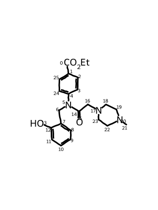 CCOC(=O)c1ccc(N(Cc2ccccc2O)C(=O)CN2CCN(C)CC2)cc1